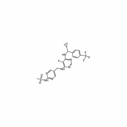 CS(=O)(=O)Nc1ncc(CNc2ncnc(NC(c3ccc(C(F)(F)F)cc3)C3CC3)c2F)cn1